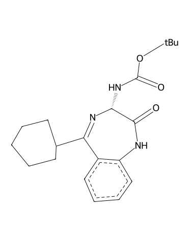 CC(C)(C)OC(=O)N[C@H]1N=C(C2CCCCC2)c2ccccc2NC1=O